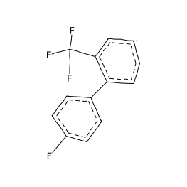 Fc1ccc(-c2cc[c]cc2C(F)(F)F)cc1